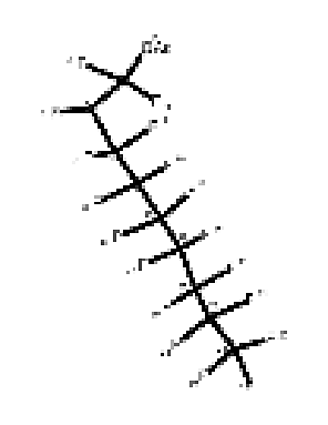 CC(=O)OC(F)(F)C(F)C(F)(F)C(F)(F)C(F)(F)C(F)(F)C(F)(F)C(F)(F)C(C)(F)F